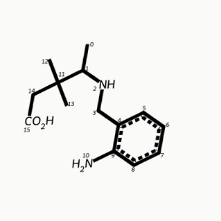 CC(NCc1ccccc1N)C(C)(C)CC(=O)O